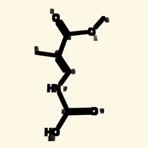 COC(=O)C(C)=CNC(=O)O